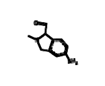 CN1Cc2cc(N)ccc2C1C=O